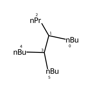 CCCCC(CCC)C(CCCC)CCCC